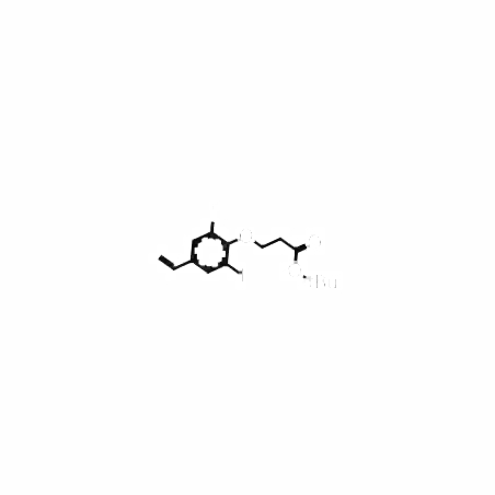 C=Cc1cc(I)c(OCCC(=O)OC(C)(C)C)c(I)c1